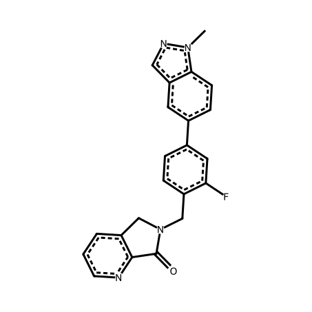 Cn1ncc2cc(-c3ccc(CN4Cc5cccnc5C4=O)c(F)c3)ccc21